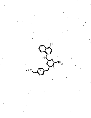 CC(C)Cc1ccc(Cc2nc(N)nc(Nc3ccc(Cl)c4ccncc34)n2)cc1